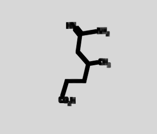 CC(CCC(=O)O)CC(=N)N